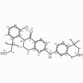 CC1(C)CNCc2cc(Nc3ncc4c(n3)SCN(c3c(Cl)cccc3C(C)(C)CO)C4=O)ccc21